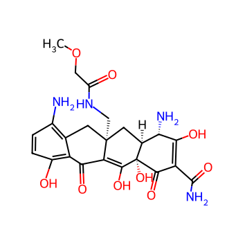 COCC(=O)NC[C@@]12Cc3c(N)ccc(O)c3C(=O)C1=C(O)[C@]1(O)C(=O)C(C(N)=O)=C(O)[C@@H](N)[C@@H]1C2